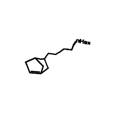 CCCCCCCCCCC1CC2=CCC1C2